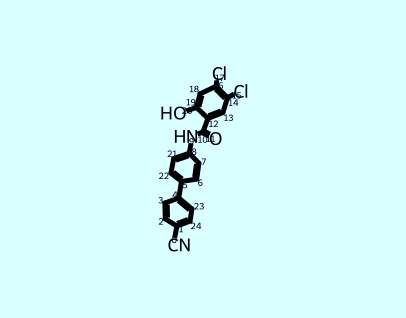 N#Cc1ccc(-c2ccc(NC(=O)c3cc(Cl)c(Cl)cc3O)cc2)cc1